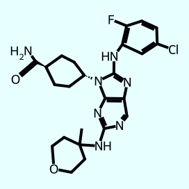 CC1(Nc2ncc3nc(Nc4cc(Cl)ccc4F)n([C@H]4CC[C@H](C(N)=O)CC4)c3n2)CCOCC1